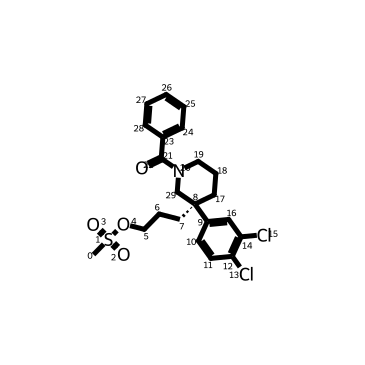 CS(=O)(=O)OCCC[C@@]1(c2ccc(Cl)c(Cl)c2)CCCN(C(=O)c2ccccc2)C1